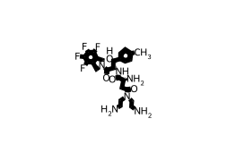 Cc1ccc([C@@H](O)[C@H](NC(=O)[C@@H](N)CC(=O)N(CCN)CCN)C(=O)N2Cc3c(F)c(F)c(F)c(F)c3C2)cc1